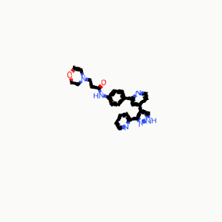 O=C(CCN1CCOCC1)Nc1ccc(-c2cc(-c3c[nH]nc3-c3ccccn3)ccn2)cc1